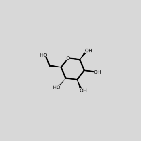 OC[C@H]1O[C@@H](O)C(O)[C@@H](O)[C@@H]1O